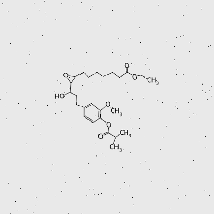 CCOC(=O)CCCCCCC1OC1C(O)CCc1ccc(OC(=O)C(C)C)c(OC)c1